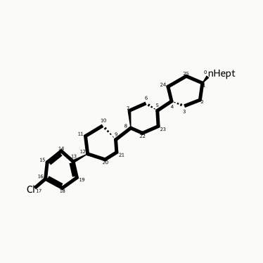 CCCCCCC[C@H]1CC[C@H]([C@H]2CC[C@H]([C@H]3CC[C@H](c4ccc(Cl)cc4)CC3)CC2)CC1